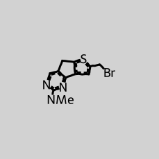 CNc1ncc2c(n1)-c1cc(CBr)sc1C2